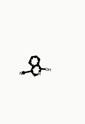 N#Cc1cnc(O)c2ccccc12